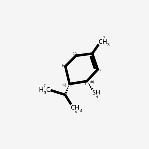 CC1=C[C@H](S)[C@H](C(C)C)CC1